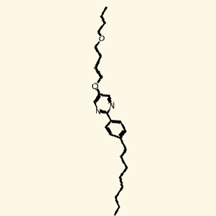 CCCCCCCCc1ccc(-c2ncc(OCCCCOCCCC)cn2)cc1